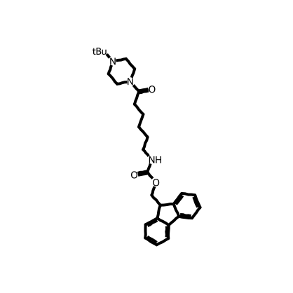 CC(C)(C)N1CCN(C(=O)CCCCCNC(=O)OCC2c3ccccc3-c3ccccc32)CC1